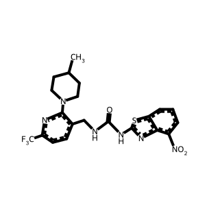 CC1CCN(c2nc(C(F)(F)F)ccc2CNC(=O)Nc2nc3c([N+](=O)[O-])cccc3s2)CC1